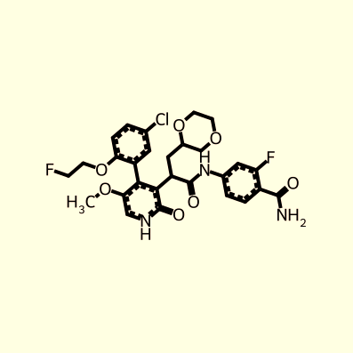 COc1c[nH]c(=O)c(C(CC2COCCO2)C(=O)Nc2ccc(C(N)=O)c(F)c2)c1-c1cc(Cl)ccc1OCCF